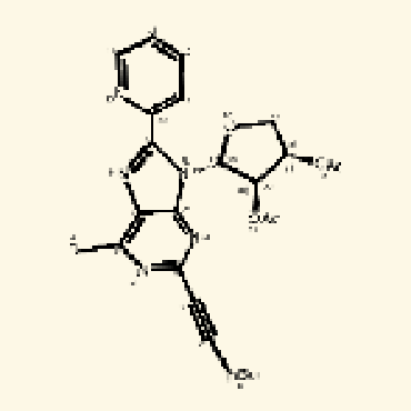 CCCCC#Cc1nc(Cl)c2nc(-c3ccccn3)n([C@@H]3OC[C@@H](OC(C)=O)[C@H]3OC(C)=O)c2n1